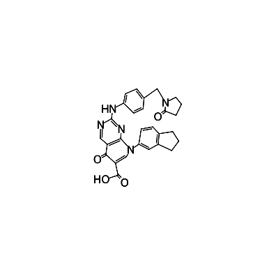 O=C(O)c1cn(-c2ccc3c(c2)CCC3)c2nc(Nc3ccc(CN4CCCC4=O)cc3)ncc2c1=O